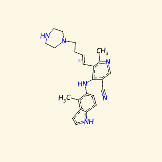 Cc1ncc(C#N)c(Nc2ccc3[nH]ccc3c2C)c1/C=C/CCN1CCNCC1